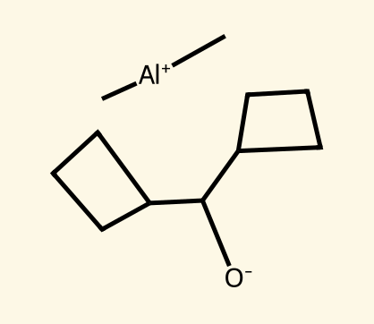 [CH3][Al+][CH3].[O-]C(C1CCC1)C1CCC1